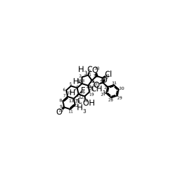 CC1C[C@H]2[C@@H]3CCC4=CC(=O)C=C[C@]4(C)[C@@]3(F)C(O)C[C@]2(C)[C@@]1(OC(=O)c1ccccc1)C(=O)CCl